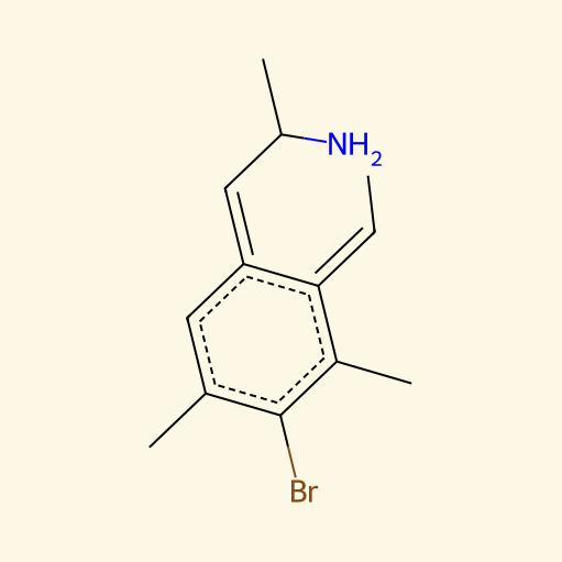 C/C=c1/c(C)c(Br)c(C)c/c1=C/C(C)N